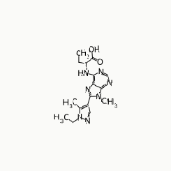 CCC(Nc1ncnc2c1nc(-c1cnn(CC)c1C)n2C)C(=O)O